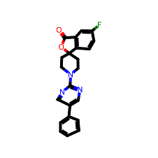 O=C1OC2(CCN(c3ncc(-c4ccccc4)cn3)CC2)c2ccc(F)cc21